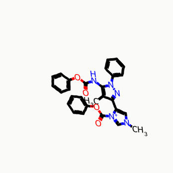 Cc1c(-c2cn(C)c[n+]2C(=O)Oc2ccccc2)nn(-c2ccccc2)c1NC(=O)Oc1ccccc1